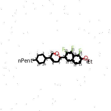 CCCCCC1CCC(C2=CCC(c3cc4ccc(OCC)c(F)c4c(F)c3F)OC2)CC1